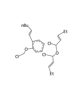 CCC=CC(Cl)OC(Cl)C=CCC.CCCCC=Cc1ccccc1OCCl